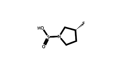 O=S(O)N1CC[C@@H](F)C1